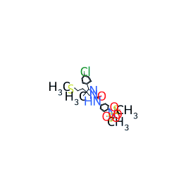 CSCCCC1(C)CN(C(=O)Nc2ccc(N(S(C)(=O)=O)S(C)(=O)=O)cc2)N=C1c1ccc(Cl)cc1